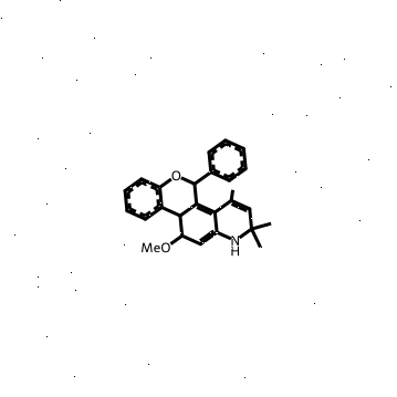 COC1C=C2NC(C)(C)C=C(C)C2=C2C(c3ccccc3)Oc3ccccc3C21